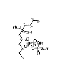 CCCCC(CC(O)(O)CCCC)OP(=O)(O)OP(=O)(O)O